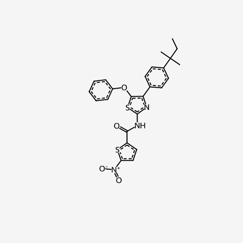 CCC(C)(C)c1ccc(-c2nc(NC(=O)c3ccc([N+](=O)[O-])s3)sc2Oc2ccccc2)cc1